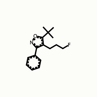 CC(C)(C)c1onc(-c2ccccc2)c1CCCF